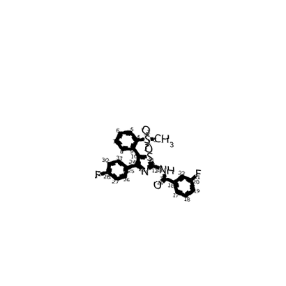 CS(=O)(=O)c1ccccc1-c1sc(NC(=O)c2cccc(F)c2)nc1-c1ccc(F)cc1